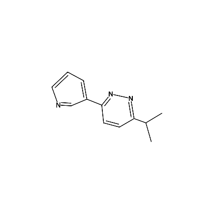 CC(C)c1ccc(-c2cccnc2)nn1